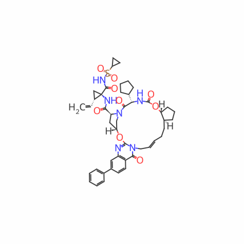 C=C[C@@H]1C[C@]1(NC(=O)[C@@H]1C[C@@H]2CN1C(=O)[C@H](C1CCCC1)NC(=O)O[C@@H]1CCC[C@H]1CC/C=C/Cn1c(nc3cc(-c4ccccc4)ccc3c1=O)O2)C(=O)NS(=O)(=O)C1CC1